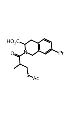 CC(=O)SCC(C)C(=O)N1Cc2cc(C(C)C)ccc2CC1C(=O)O